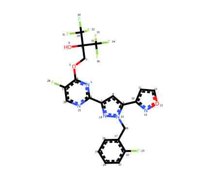 OC(COc1nc(-c2cc(-c3ccon3)n(Cc3ccccc3F)n2)ncc1F)(C(F)(F)F)C(F)(F)F